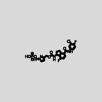 O=C(NC1CCc2c(C(=O)Nc3ccc(F)c(Cl)c3)ccc(F)c21)OCc1ccn(COP(=O)(O)O)n1